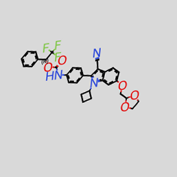 N#Cc1c(-c2ccc(NC(=O)O[C@H](c3ccccc3)C(F)(F)F)cc2)n(C2CCC2)c2cc(OCC3OCCO3)ccc12